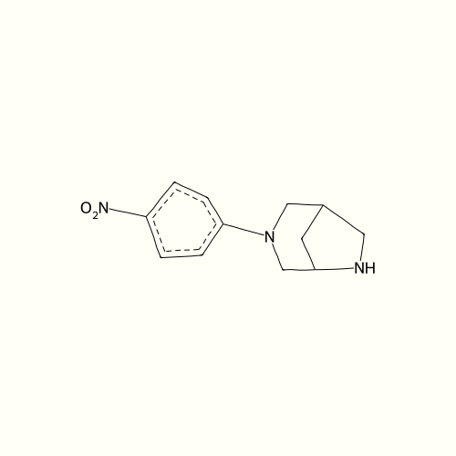 O=[N+]([O-])c1ccc(N2CC3CNC(C3)C2)cc1